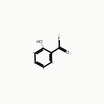 Cl.O=C(F)c1ccccc1